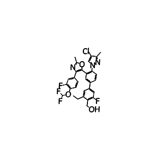 CCc1cc(-c2ccc(-n3cc(Cl)c(C)n3)c(-c3oc(C)nc3-c3ccc(OC(F)F)c(F)c3)c2)cc(F)c1CO